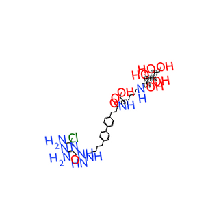 N=C(NCCCCc1ccc(-c2ccc(CCC(=O)N[C@@H](CCCCNC[C@H](O)[C@@H](O)[C@H](O)[C@H](O)CO)C(=O)O)cc2)cc1)NC(=O)c1nc(Cl)c(N)nc1N